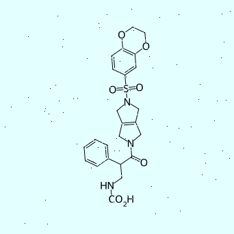 O=C(O)NCC(C(=O)N1CC2=C(C1)CN(S(=O)(=O)c1ccc3c(c1)OCCO3)C2)c1ccccc1